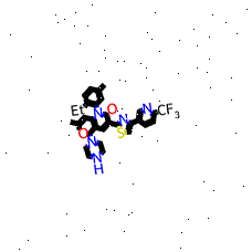 CCc1ccc(C)cc1-n1c(C=C(C)C)c(C(=O)N2CCNCC2)cc(-c2nc(-c3ccc(C(F)(F)F)nc3)cs2)c1=O